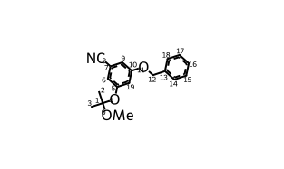 COC(C)(C)Oc1cc(C#N)cc(OCc2ccccc2)c1